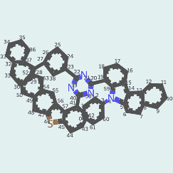 c1ccc(-n2c3ccc4ccccc4c3c3cccc(-c4nc(-c5cccc(-c6cccc7ccccc67)c5)nc(-c5cccc6sc7cc8ccccc8cc7c56)n4)c32)cc1